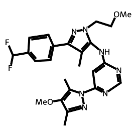 COCCn1nc(-c2ccc(C(F)F)cc2)c(C)c1Nc1cc(-n2nc(C)c(OC)c2C)ncn1